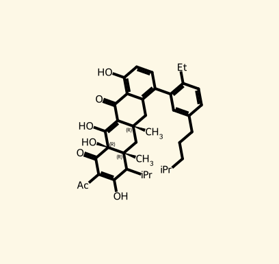 CCc1ccc(CCCC(C)C)cc1-c1ccc(O)c2c1C[C@]1(C)C[C@]3(C)C(C(C)C)C(O)=C(C(C)=O)C(=O)[C@]3(O)C(O)=C1C2=O